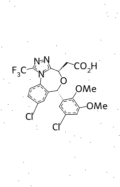 COc1cc(Cl)cc([C@H]2O[C@H](CC(=O)O)c3nnc(C(F)(F)F)n3-c3ccc(Cl)cc32)c1OC